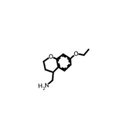 CCOc1ccc2c(c1)OCCC2CN